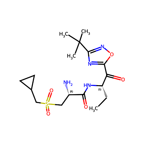 CC[C@H](NC(=O)[C@@H](N)CS(=O)(=O)CC1CC1)C(=O)c1nc(C(C)(C)C)no1